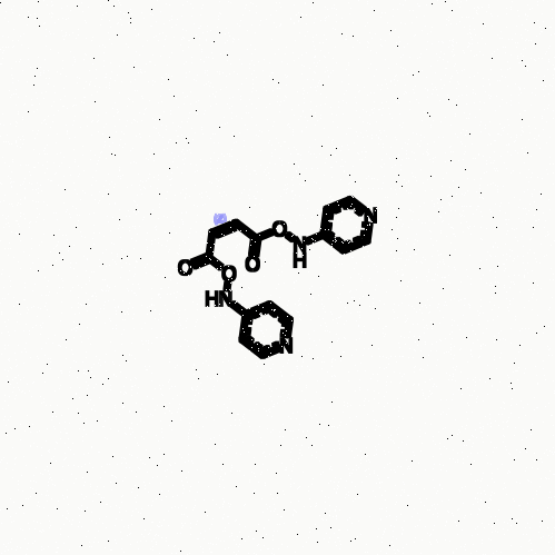 O=C(/C=C\C(=O)ONc1ccncc1)ONc1ccncc1